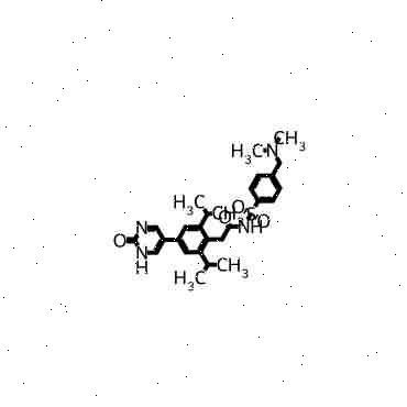 CC(C)c1cc(-c2cnc(=O)[nH]c2)cc(C(C)C)c1CC(=O)NS(=O)(=O)c1ccc(CN(C)C)cc1